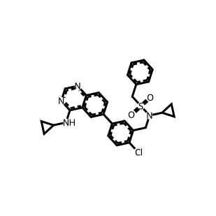 O=S(=O)(Cc1ccccc1)N(Cc1cc(-c2ccc3ncnc(NC4CC4)c3c2)ccc1Cl)C1CC1